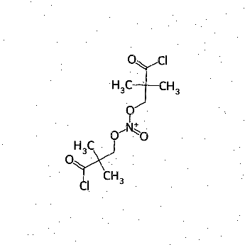 CC(C)(CO[N+](=O)OCC(C)(C)C(=O)Cl)C(=O)Cl